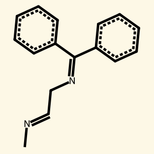 C/N=C/CN=C(c1ccccc1)c1ccccc1